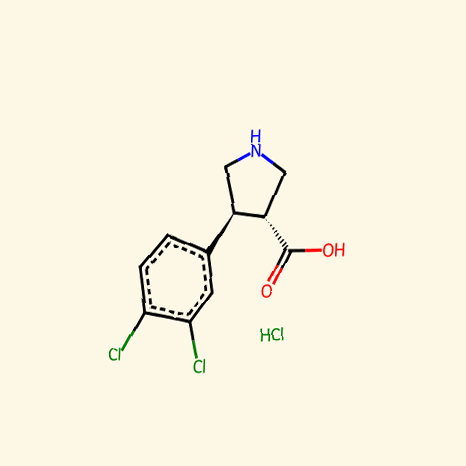 Cl.O=C(O)[C@H]1CNC[C@@H]1c1ccc(Cl)c(Cl)c1